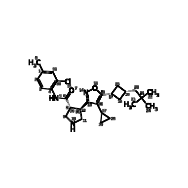 Cc1ccc(NC(=O)[C@H]2CNC[C@@H]2c2noc([C@H]3C[C@@H](CC(C)(C)C)C3)c2C2CC2)c(Cl)c1